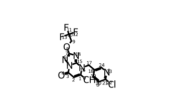 Cc1cc(=O)n2nc(OCC(F)(F)F)nc2n1Cc1ccc(Cl)nc1